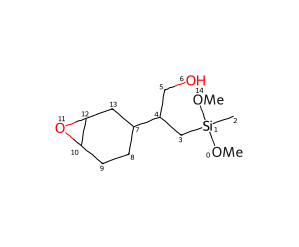 CO[Si](C)(CC(CO)C1CCC2OC2C1)OC